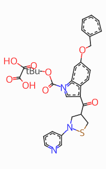 CC(C)(C)OC(=O)n1cc(C(=O)C2CSN(c3cccnc3)C2)c2ccc(OCc3ccccc3)cc21.O=C(O)C(=O)O